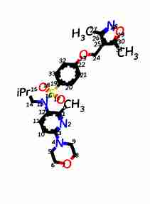 Cc1nc(N2CCOCC2)ccc1N(CC(C)C)S(=O)(=O)c1ccc(OCc2c(C)noc2C)cc1